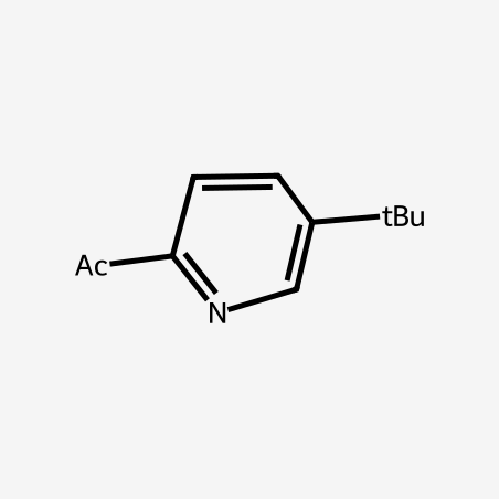 CC(=O)c1ccc(C(C)(C)C)cn1